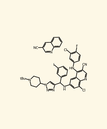 CC(C)(C)N1CCC(n2cc(C(Nc3cc(Cl)c4ncc(C#N)c(Nc5ccc(F)c(Cl)c5)c4c3)c3cccc(I)c3)nn2)CC1.N#Cc1cnc2ccccc2c1